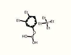 CC[N+](CC)(CC)CC.CCc1ccc(OB(O)O)cc1CC